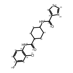 O=C(NC1CCC(C(=O)Nc2ccc(F)cc2Cl)CC1)c1cscn1